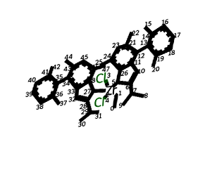 C[CH2][Zr]([Cl])([Cl])([CH]1C(C(C)C)=Cc2c(-c3c(C)cccc3C)c(C)cc(C)c21)[CH]1C(C(C)C)=Cc2c(-c3c(C)cccc3C)c(C)cc(C)c21